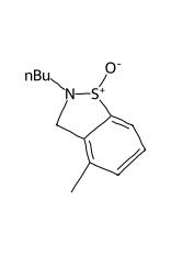 CCCCN1Cc2c(C)cccc2[S+]1[O-]